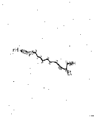 CCCCCCCCCCCCCCCC(CC)C[NH]